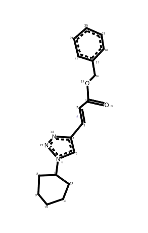 O=C(/C=C/c1cn(C2CCCCC2)nn1)OCc1ccccc1